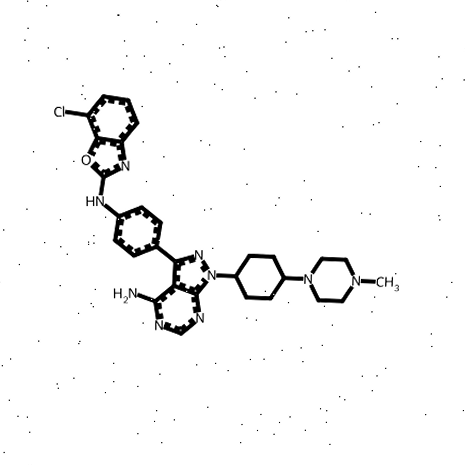 CN1CCN(C2CCC(n3nc(-c4ccc(Nc5nc6cccc(Cl)c6o5)cc4)c4c(N)ncnc43)CC2)CC1